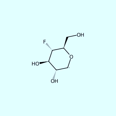 OC[C@H]1O[CH][C@H](O)[C@@H](O)[C@@H]1F